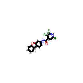 O=C(Nc1ccc2c(c1)oc1ccccc12)c1cc(F)nc(F)c1F